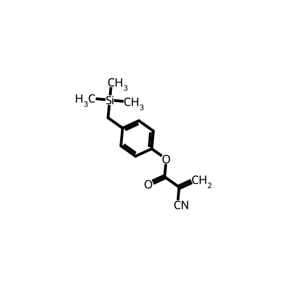 C=C(C#N)C(=O)Oc1ccc(C[Si](C)(C)C)cc1